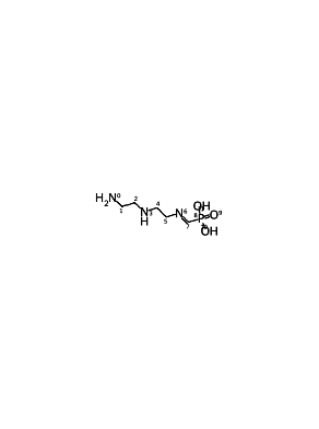 NCCNCCN=CP(=O)(O)O